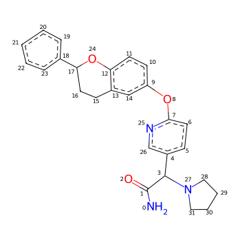 NC(=O)C(c1ccc(Oc2ccc3c(c2)CCC(c2ccccc2)O3)nc1)N1CCCC1